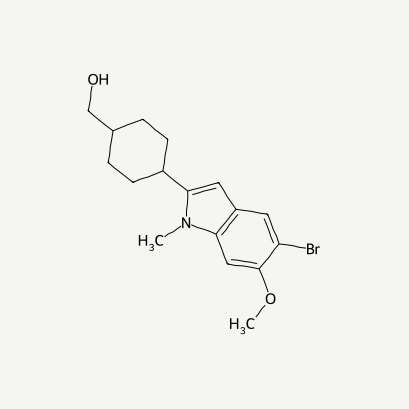 COc1cc2c(cc1Br)cc(C1CCC(CO)CC1)n2C